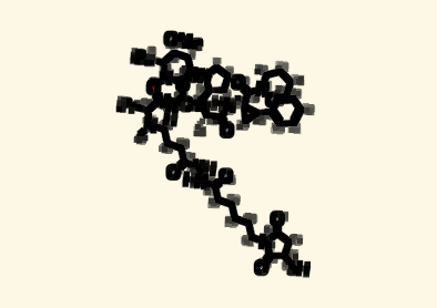 CC[C@H](C)[C@@H]([C@@H](CC(=O)N1CCC[C@H]1[C@H](OC)[C@@H](C)C(=O)N[C@@]1(C(=O)N2CCCCO2)C[C@@H]1c1ccccc1)OC)N(C)C(=O)[C@@H](NC(=O)[C@H](C(C)C)N(C)CCCC(=O)NNC(=O)CCCCCN1C(=O)CC(S)C1=O)C(C)C